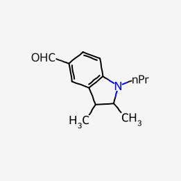 CCCN1c2ccc(C=O)cc2C(C)C1C